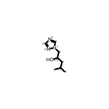 CC(C)CC(O)Cn1cncn1